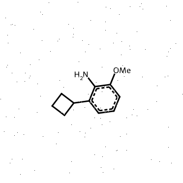 COc1cccc(C2CCC2)c1N